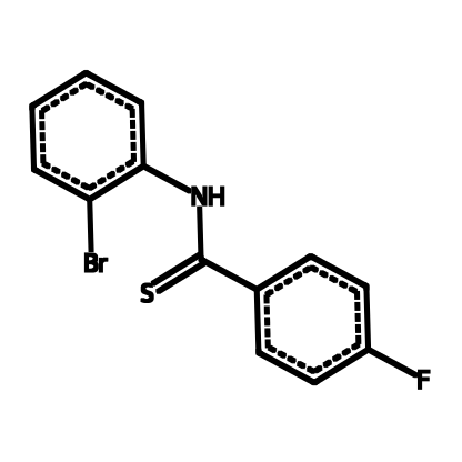 Fc1ccc(C(=S)Nc2ccccc2Br)cc1